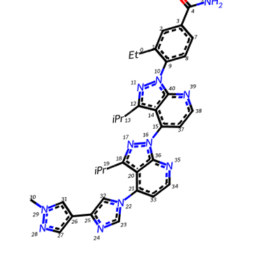 CCc1cc(C(N)=O)ccc1-n1nc(C(C)C)c2c(-n3nc(C(C)C)c4c(-n5cnc(-c6cnn(C)c6)c5)ccnc43)ccnc21